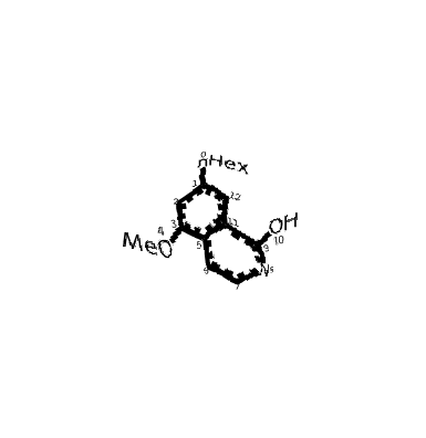 CCCCCCc1cc(OC)c2ccnc(O)c2c1